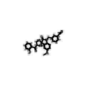 COc1ccc2c(c1)C1(NC(C(=O)c3ccccc3F)CS1)C(=O)N2Cc1cccc(C#N)c1